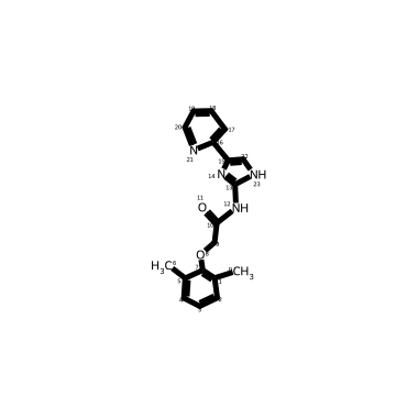 Cc1cccc(C)c1OCC(=O)Nc1nc(-c2ccccn2)c[nH]1